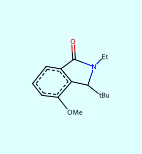 CCN1C(=O)c2cccc(OC)c2C1C(C)(C)C